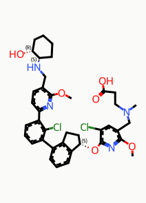 COc1nc(-c2cccc(-c3cccc4c3CC[C@@H]4Oc3nc(OC)c(CN(C)CCC(=O)O)cc3Cl)c2Cl)ccc1CN[C@H]1CCCC[C@H]1O